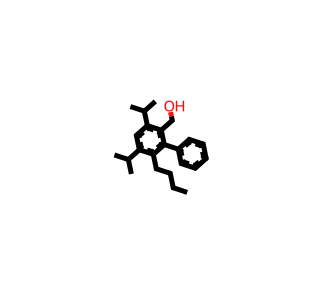 CCCCc1c(C(C)C)cc(C(C)C)c(CO)c1-c1ccccc1